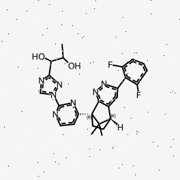 CC(O)C(O)c1ncn(-c2nccc([C@]34CC[C@@H](c5cc(-c6c(F)cccc6F)nnc53)C4(C)C)n2)n1